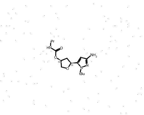 CC(C)NC(=O)O[C@@H]1CO[C@H](c2cc(N)nn2C(C)(C)C)C1